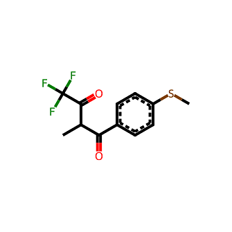 CSc1ccc(C(=O)C(C)C(=O)C(F)(F)F)cc1